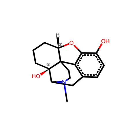 CN1CCC23c4c5ccc(O)c4O[C@H]2CCC[C@@]3(O)C1C5